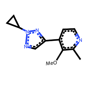 COc1c(-c2cnn(C3CC3)n2)ccnc1C